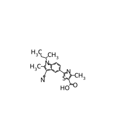 CCC(C)n1c(C)c(C#N)c2cc(-c3nc(C)c(C(=O)O)s3)ccc21